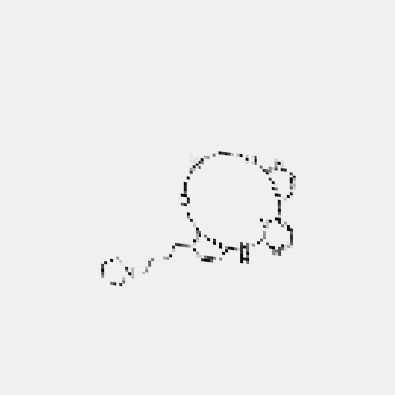 C1=C\COCc2cc(ccc2CCCCN2CCCC2)Nc2nccc(n2)-c2ccnc(c2)OCC/1